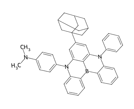 CN(C)c1ccc(N2c3ccccc3B3c4ccccc4N(c4ccccc4)c4cc(C56CC7CC(CC(C7)C5)C6)cc2c43)cc1